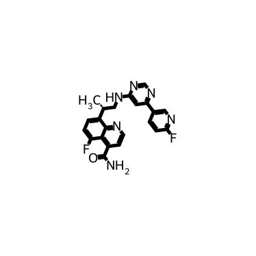 C[C@H](CNc1cc(-c2ccc(F)nc2)ncn1)c1ccc(F)c2c(C(N)=O)ccnc12